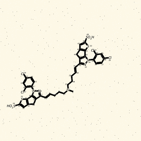 CN(CCC/C=C/c1nn(-c2ccc(Cl)cc2Cl)c2c1Cc1cc(S(=O)(=O)O)sc1-2)CCC/C=C/c1nn(-c2ccc(Cl)cc2Cl)c2c1Cc1cc(S(=O)(=O)O)sc1-2